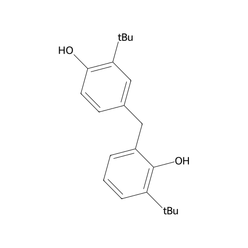 CC(C)(C)c1cc(Cc2cccc(C(C)(C)C)c2O)ccc1O